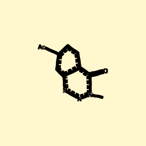 CC(=O)c1ccc2c(=O)n(C)nnc2c1